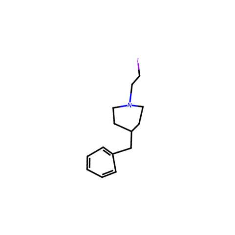 ICCN1CCC(Cc2ccccc2)CC1